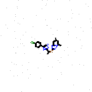 Cc1cc(C)n2nc(SC(C)c3nc(-c4ccc(Cl)cc4)c[nH]3)nc2c1